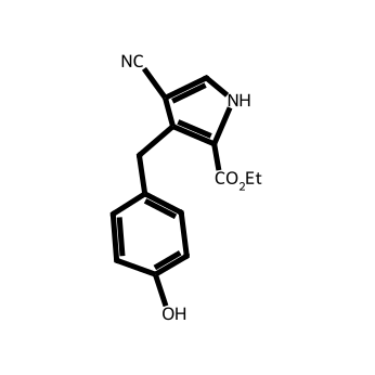 CCOC(=O)c1[nH]cc(C#N)c1Cc1ccc(O)cc1